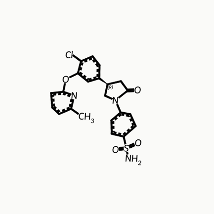 Cc1cccc(Oc2cc([C@H]3CC(=O)N(c4ccc(S(N)(=O)=O)cc4)C3)ccc2Cl)n1